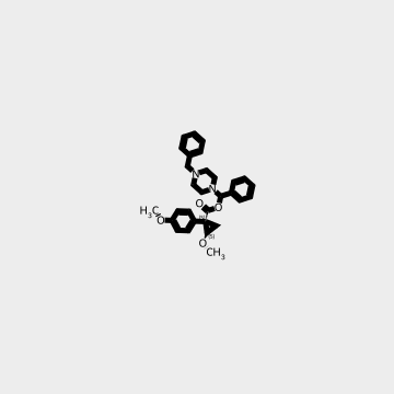 COc1ccc([C@@]2(C(=O)OC(c3ccccc3)N3CCN(Cc4ccccc4)CC3)C[C@@H]2OC)cc1